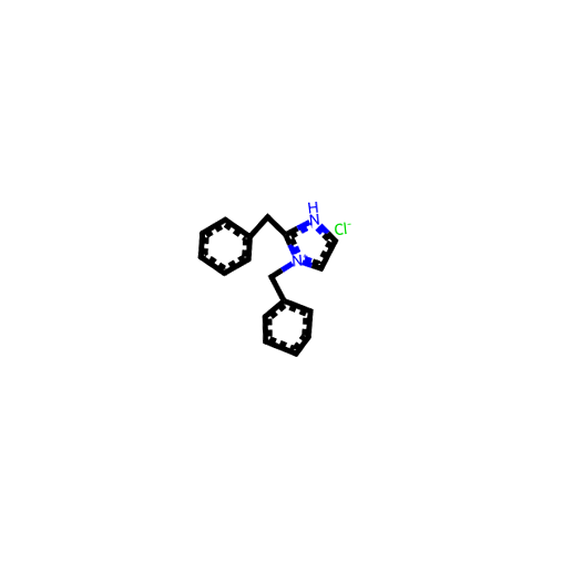 [Cl-].c1ccc(Cc2[nH]cc[n+]2Cc2ccccc2)cc1